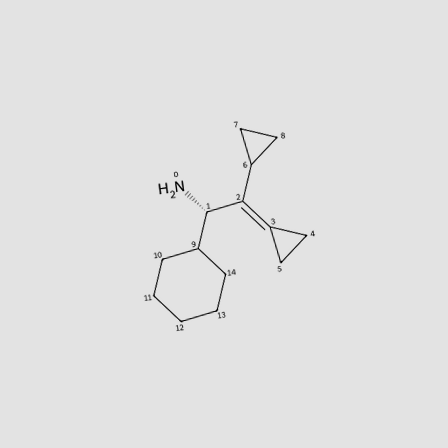 N[C@H](C(=C1CC1)C1CC1)C1CCCCC1